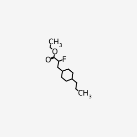 CCCC1CCC(CC(F)C(=O)OCC)CC1